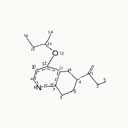 C=C(CC)C1CCc2nccc(OC(C)CC)c2C1